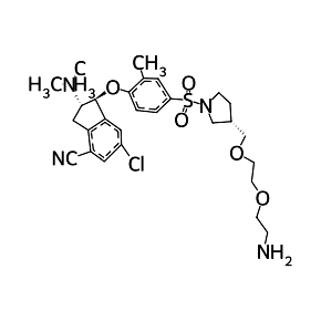 Cc1cc(S(=O)(=O)N2CC[C@H](COCCOCCN)C2)ccc1O[C@H]1c2cc(Cl)cc(C#N)c2C[C@@H]1N(C)C